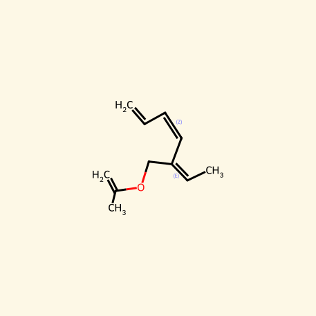 C=C/C=C\C(=C/C)COC(=C)C